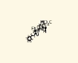 CCC(OC(=O)CCc1ccccc1)OC(=O)NC(=N)N(C)C(C)C(=O)O